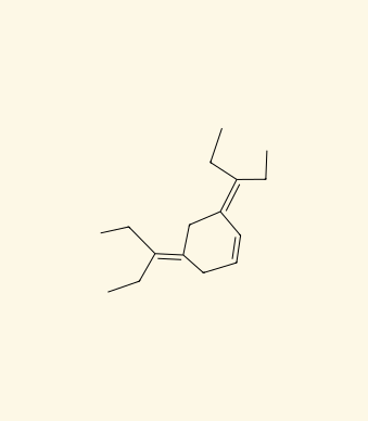 CCC(CC)=C1C=CCC(=C(CC)CC)C1